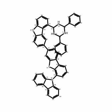 c1ccc(C2NC(c3ccccc3)NC(c3cccc4sc5ccc(-c6ccc7c(c6)sc6c(-n8c9ccccc9c9ccccc98)cccc67)cc5c34)N2)cc1